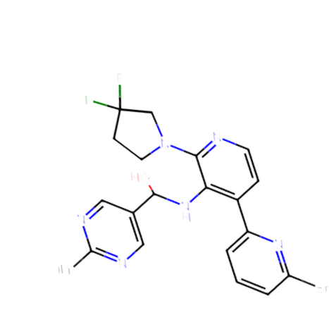 CCc1cccc(-c2ccnc(N3CCC(F)(F)C3)c2NC(O)c2cnc(C(C)C)nc2)n1